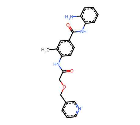 Cc1cc(C(=O)Nc2ccccc2N)ccc1NC(=O)COCc1cccnc1